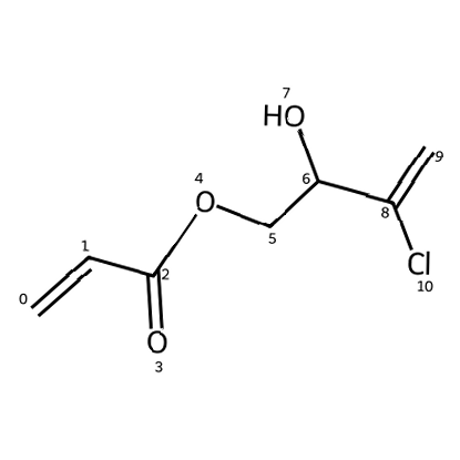 C=CC(=O)OCC(O)C(=C)Cl